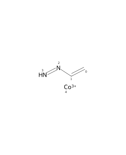 C=CN=N.[Co+3]